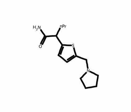 CCCC(C(N)=O)c1ccc(CN2CCCC2)s1